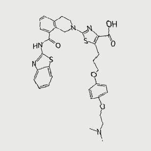 CN(C)CCOc1ccc(OCCCc2sc(N3CCc4cccc(C(=O)Nc5nc6ccccc6s5)c4C3)nc2C(=O)O)cc1